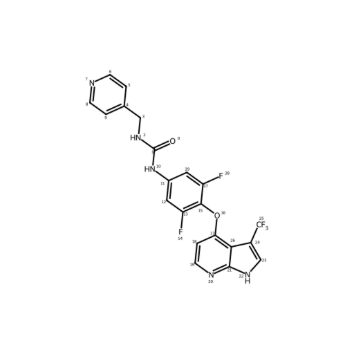 O=C(NCc1ccncc1)Nc1cc(F)c(Oc2ccnc3[nH]cc(C(F)(F)F)c23)c(F)c1